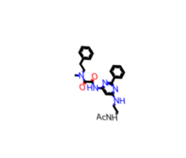 CC(=O)NCCNc1cc(NC(=O)C(=O)N(C)CCc2ccccc2)nc(-c2ccccc2)n1